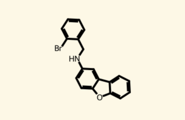 Brc1ccccc1CNc1ccc2oc3ccccc3c2c1